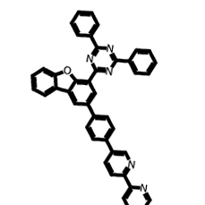 c1ccc(-c2nc(-c3ccccc3)nc(-c3cc(-c4ccc(-c5ccc(-c6ccccn6)nc5)cc4)cc4c3oc3ccccc34)n2)cc1